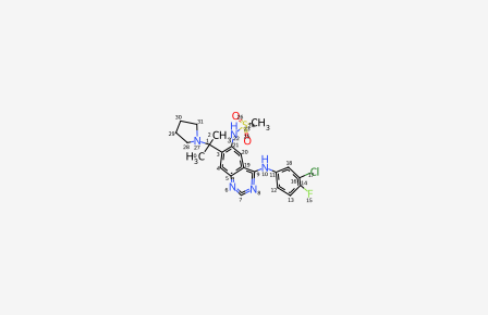 CC(C)(c1cc2ncnc(Nc3ccc(F)c(Cl)c3)c2cc1NS(C)(=O)=O)N1CCCC1